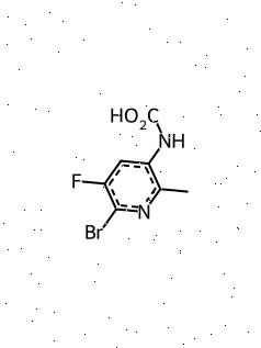 Cc1nc(Br)c(F)cc1NC(=O)O